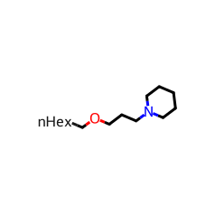 CCCCCCCOCCCN1CCCCC1